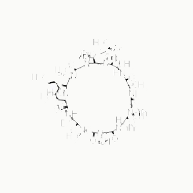 C/C=C/C[C@@H](C)[C@@H](O)[C@H]1C(=O)N[C@@H](CC)C(=O)N(C)CC(=O)N(C)[C@@H](CC(C)C)C(=O)N[C@@H](C(C)C)C(=O)N(C)[C@@H](CC(C)C)C(=O)N[C@@H](C)C(=O)N[C@H](C)C(=O)N(C)[C@@H](CC(C)C)C(=O)N(C)[C@@H](CC(C)C)C(=O)N(C)[C@@H](C(C)C)C(=O)N1C.C=CC(C)=O